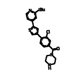 CC(C)(C)c1cc(-c2cc(-c3ccc(C(=O)N4CCNCC4)cc3Cl)cs2)ccn1